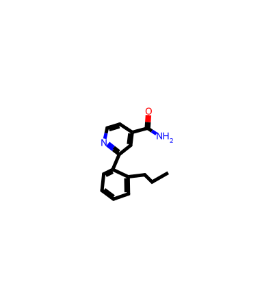 CCCc1ccccc1-c1cc(C(N)=O)ccn1